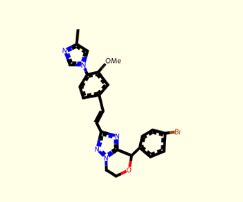 COc1cc(C=Cc2nc3n(n2)CCOC3c2ccc(Br)cc2)ccc1-n1cnc(C)c1